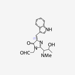 CNC(C1=N/C(=C\c2c[nH]c3ccccc23)C(=O)N1CC=O)C(C)O